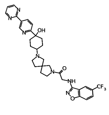 O=C(CNc1noc2ccc(C(F)(F)F)cc12)N1CCC2(CCN(C3CCC(O)(c4ccc(-c5ncccn5)cn4)CC3)C2)C1